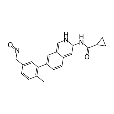 Cc1ccc(CN=O)cc1-c1ccc2c(c1)=CNC(NC(=O)C1CC1)C=2